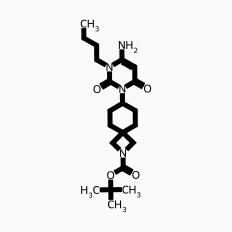 CCCCn1c(N)cc(=O)n(C2CCC3(CC2)CN(C(=O)OC(C)(C)C)C3)c1=O